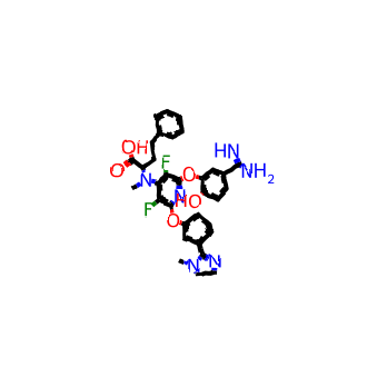 CN1CCN=C1c1cccc(Oc2nc(Oc3cc(C(=N)N)ccc3O)c(F)c(N(C)C(CCc3ccccc3)C(=O)O)c2F)c1